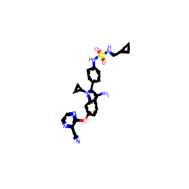 N#Cc1nccnc1Oc1ccc2c(N)c(-c3ccc(NS(=O)(=O)NCC4CC4)cc3)n(C3CC3)c2c1